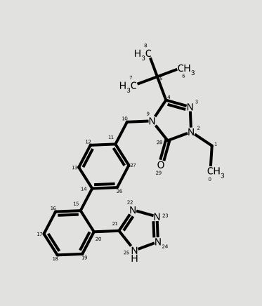 CCn1nc(C(C)(C)C)n(Cc2ccc(-c3ccccc3-c3nnn[nH]3)cc2)c1=O